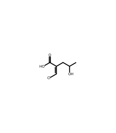 CC(O)CC(=CCl)C(=O)O